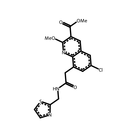 COC(=O)c1cc2cc(Cl)cc(CC(=O)NCc3nccs3)c2nc1OC